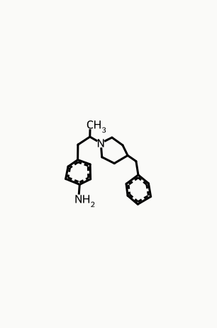 CC(Cc1ccc(N)cc1)N1CCC(Cc2ccccc2)CC1